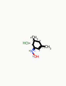 CC1=C/C(=N\O)CC(C)C1.Cl